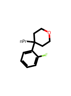 CCCC1(c2ccccc2F)CCOCC1